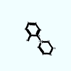 Cc1ccccc1N1C=CCCC1